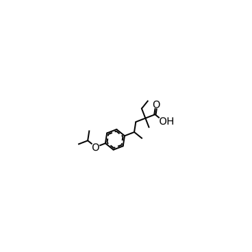 CCC(C)(CC(C)c1ccc(OC(C)C)cc1)C(=O)O